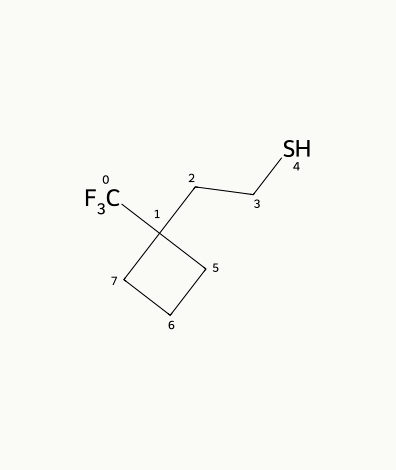 FC(F)(F)C1(CCS)CCC1